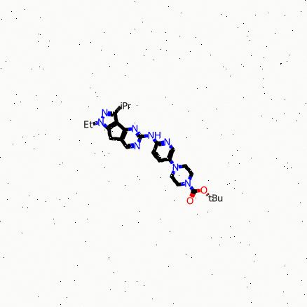 CCn1nc(C(C)C)c2c1Cc1cnc(Nc3ccc(N4CCN(C(=O)OC(C)(C)C)CC4)cn3)nc1-2